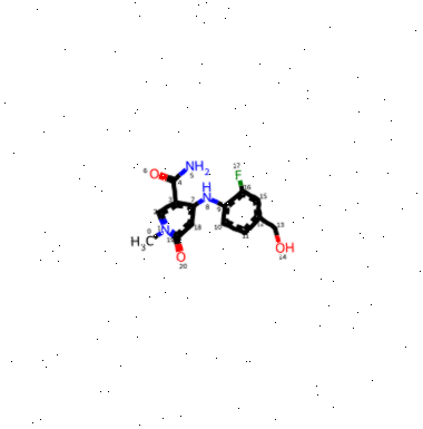 Cn1cc(C(N)=O)c(Nc2ccc(CO)cc2F)cc1=O